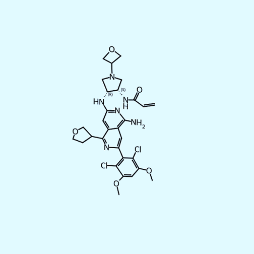 C=CC(=O)N[C@H]1CN(C2COC2)C[C@H]1Nc1cc2c(C3CCOC3)nc(-c3c(Cl)c(OC)cc(OC)c3Cl)cc2c(N)n1